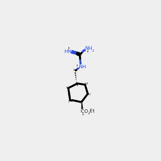 CCOC(=O)[C@H]1CC[C@H](CNC(=N)N)CC1